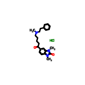 CN(CCCCC(=O)c1ccc2c(c1)n(C)c(=O)n2C)CCc1ccccc1.Cl